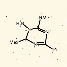 CNC1=NC(C(C)C)=NC(SC)N1N